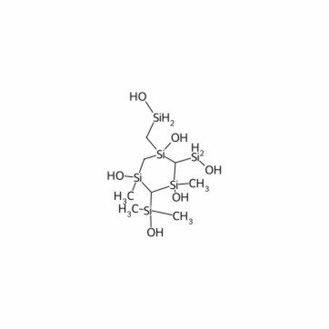 C[Si](C)(O)C1[Si](C)(O)C[Si](O)(C[SiH2]O)C([SiH2]O)[Si]1(C)O